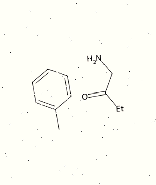 CCC(=O)CN.Cc1ccccc1